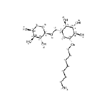 CCCCCCCCO[C@@H]1O[C@H](CO[C@@H]2OC[C@H](O)[C@H](O)[C@H]2O)[C@@H](O)[C@H](O)[C@H]1O